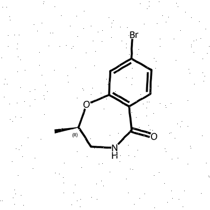 C[C@@H]1CNC(=O)c2ccc(Br)cc2O1